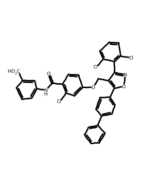 O=C(O)c1cccc(NC(=O)c2ccc(OCc3c(-c4c(Cl)cccc4Cl)noc3-c3ccc(-c4ccccc4)cc3)cc2Cl)c1